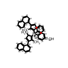 CC1=[C]([Zr](=[SiH2])([C]2=C(C)C(c3cccc4ccccc34)=CC2C)([c]2ccccc2)[c]2ccccc2)C(C)C=C1c1cccc2ccccc12.Cl.Cl